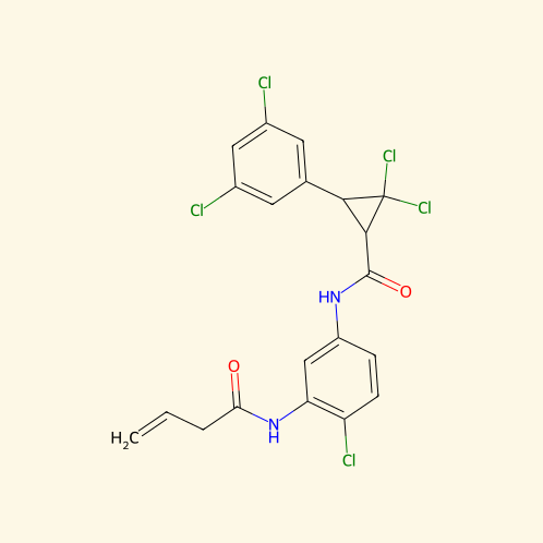 C=CCC(=O)Nc1cc(NC(=O)C2C(c3cc(Cl)cc(Cl)c3)C2(Cl)Cl)ccc1Cl